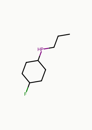 CCCPC1CCC(F)CC1